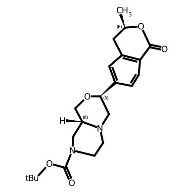 C[C@@H]1Cc2cc([C@H]3CN4CCN(C(=O)OC(C)(C)C)C[C@@H]4CO3)ccc2C(=O)O1